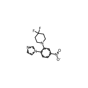 O=[N+]([O-])c1ccc(-n2ccnc2)c(N2CCC(F)(F)CC2)c1